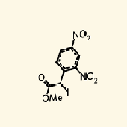 COC(=O)C(I)c1ccc([N+](=O)[O-])cc1[N+](=O)[O-]